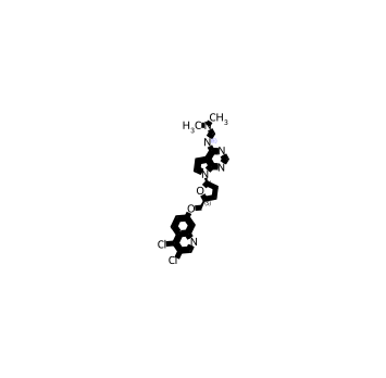 CN(C)/C=N/c1ncnc2c1ccn2[C@H]1CC[C@@H](COc2ccc3c(Cl)c(Cl)cnc3c2)O1